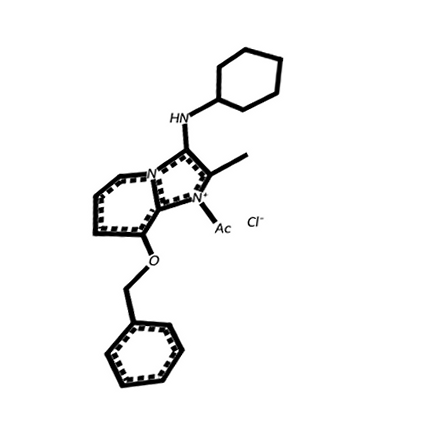 CC(=O)[n+]1c(C)c(NC2CCCCC2)n2cccc(OCc3ccccc3)c21.[Cl-]